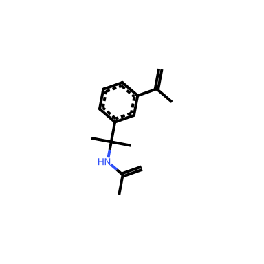 C=C(C)NC(C)(C)c1cccc(C(=C)C)c1